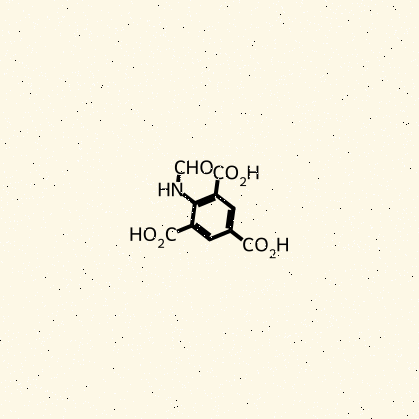 O=CNc1c(C(=O)O)cc(C(=O)O)cc1C(=O)O